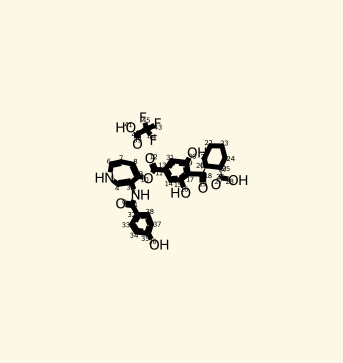 O=C(NC1=CNC=CC=C1OC(=O)c1cc(O)c(C(=O)[C@@H]2CCCC[C@@H]2C(=O)O)c(O)c1)c1ccc(O)cc1.O=C(O)C(F)(F)F